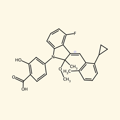 COC1(C)/C(=C\c2c(C)cccc2C2CC2)c2c(F)cccc2N1c1ccc(C(=O)O)c(O)c1